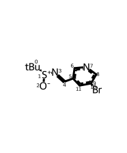 CC(C)(C)[S@+]([O-])/N=C/c1cncc(Br)c1